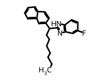 CCCCCCCC(c1ccc2ccccc2c1)c1nc2cc(F)ccc2[nH]1